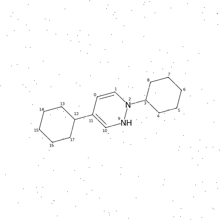 C1=CN(C2CCCCC2)NC=C1C1CCCCC1